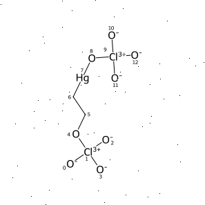 [O-][Cl+3]([O-])([O-])OC[CH2][Hg][O][Cl+3]([O-])([O-])[O-]